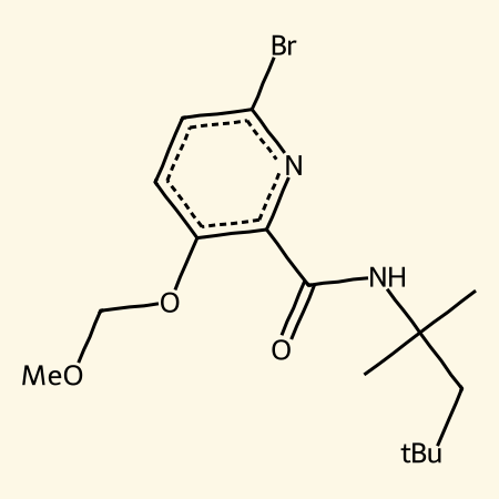 COCOc1ccc(Br)nc1C(=O)NC(C)(C)CC(C)(C)C